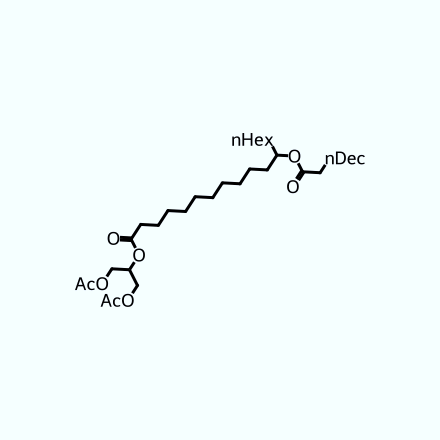 CCCCCCCCCCCC(=O)OC(CCCCCC)CCCCCCCCCCC(=O)OC(COC(C)=O)COC(C)=O